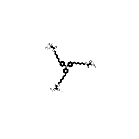 C=C(C)C(=O)OCCCCCCc1ccc(N(c2ccc(CCCCCCOC(=O)C(=C)C)cc2)c2ccc(CCCCCCOC(=O)C(=C)C)cc2)cc1